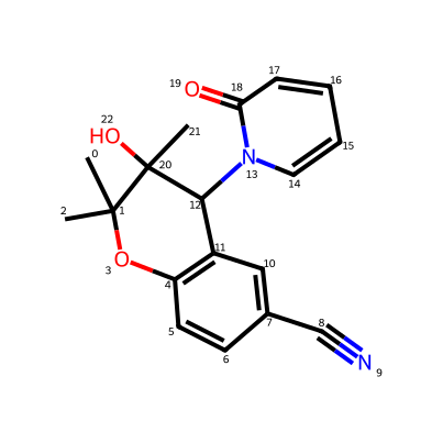 CC1(C)Oc2ccc(C#N)cc2C(n2ccccc2=O)C1(C)O